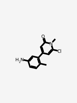 Cc1ccc(N)cc1-c1cc(Cl)n(C)c(=O)c1